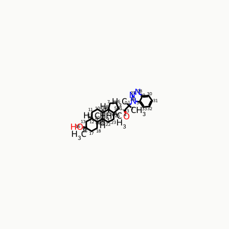 CC(C)(C(=O)[C@H]1CC[C@H]2[C@@H]3CC[C@H]4C[C@](C)(O)CC[C@]4(C)[C@H]3CC[C@]12C)n1nnc2ccccc21